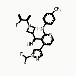 C=C(F)C(=C)N1CC(C(=N)c2c(-c3cnn(C(F)F)c3)ccnc2Nc2ccc(C(F)(F)F)cc2)C1